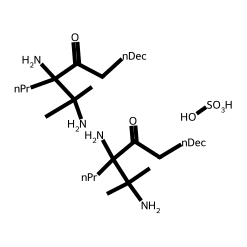 CCCCCCCCCCCC(=O)C(N)(CCC)C(C)(C)N.CCCCCCCCCCCC(=O)C(N)(CCC)C(C)(C)N.O=S(=O)(O)O